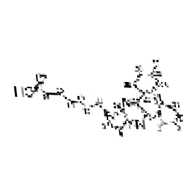 Cc1ccc(-c2nc3ccn(CCCCCCC(=O)O)c3nc2-c2ccc(C)cc2)cc1